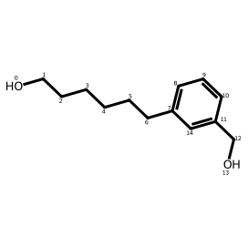 OCCCCCCc1cccc(CO)c1